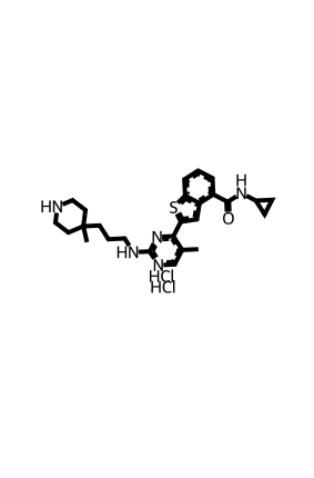 Cc1cnc(NCCCC2(C)CCNCC2)nc1-c1cc2c(C(=O)NC3CC3)cccc2s1.Cl.Cl